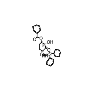 CC(C)(C)[Si](O[C@@H]1[C@@H](O)[C@H](OC(=O)c2ccccc2)CC[C@H]1N)(c1ccccc1)c1ccccc1